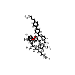 CCCCc1ccc(-c2ccc(C(=O)N3C[C@@H](N)C[C@H]3C(=O)N3CCC[C@H]3C(=O)N[C@@H](C)C(=O)N[C@@H](CCCCN)C(=O)N[C@@H](C)B3OC4C[C@@H]5C[C@@H](C5(C)C)[C@]4(C)O3)cc2)cc1